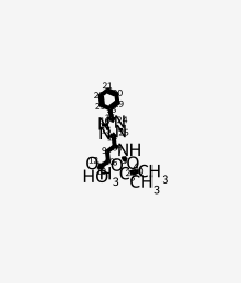 CC(C)(C)OC(=O)NC(CCC(=O)O)c1nnc(-c2ccccc2)nn1